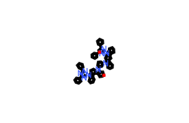 c1ccc(-c2cc(-c3ccccc3)nc(-n3c4ccccc4c4cc5c6ccccc6n(-c6cccc(-n7c8ccccc8c8c9c%10ccccc%10n(-c%10nc(-c%11ccccc%11)nc(-c%11ccccc%11)n%10)c9ccc87)c6)c5cc43)n2)cc1